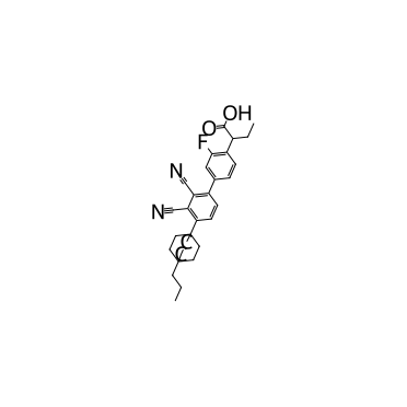 CCCC12CCC(c3ccc(-c4ccc(C(CC)C(=O)O)c(F)c4)c(C#N)c3C#N)(CC1)CC2